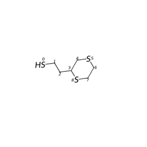 SCCC1CSCCS1